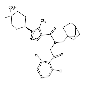 C[C@]1(C(=O)O)CC[C@H](n2ncc(C(=O)N(CC(=O)c3c(Cl)cncc3Cl)CC34CCC(CC3)O4)c2C(F)(F)F)CC1